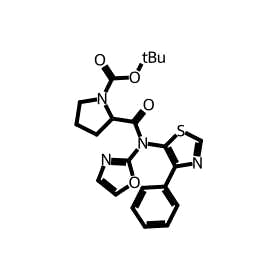 CC(C)(C)OC(=O)N1CCCC1C(=O)N(c1ncco1)c1scnc1-c1ccccc1